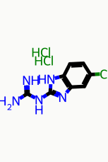 Cl.Cl.N=C(N)Nc1nc2cc(Cl)ccc2[nH]1